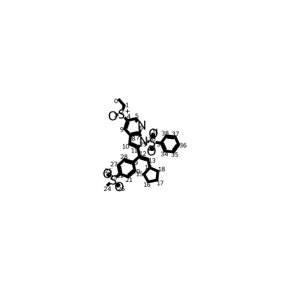 CC[S+]([O-])c1cnc2c(c1)cc(C(=CC1CCCC1)c1ccc(S(C)(=O)=O)cc1)n2S(=O)(=O)c1ccccc1